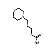 NC(=O)[N]CCCN1CCOCC1